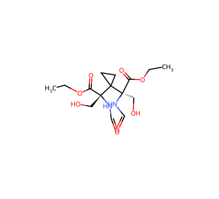 CCOC(=O)[C@@](CO)(NC=O)C1([C@](CO)(NC=O)C(=O)OCC)CC1